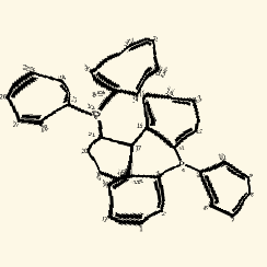 c1ccc(P(c2ccccc2)c2ccccc2C2CCCC2P(c2ccccc2)c2ccccc2)cc1